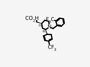 O=C(O)C[C@H]1CCN(Cc2ccccc2C(F)(F)F)[C@@H](C2C=CC(C(F)(F)F)=CC2)C1